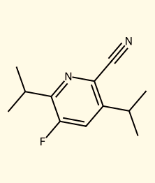 CC(C)c1cc(F)c(C(C)C)nc1C#N